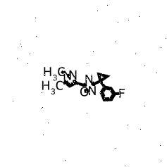 Cc1cc(-c2nc(C3(c4cccc(F)c4)CC3)no2)nn1C